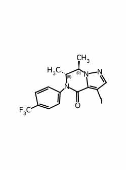 C[C@@H]1[C@@H](C)n2ncc(I)c2C(=O)N1c1ccc(C(F)(F)F)cc1